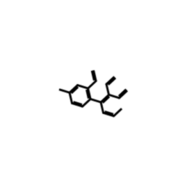 C=CC(C=C)=C(/C=C\C)c1ccc(C)cc1C=C